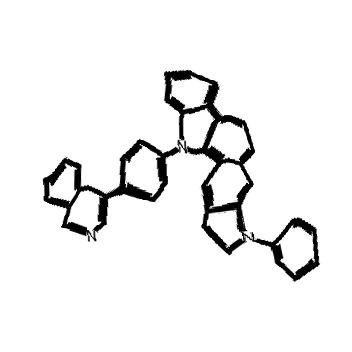 c1ccc(-n2ccc3cc4c(ccc5c6ccccc6n(-c6ccc(-c7cncc8ccccc78)cc6)c45)cc32)cc1